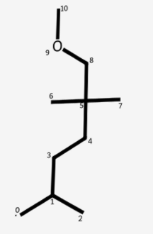 [CH2]C(C)CCC(C)(C)COC